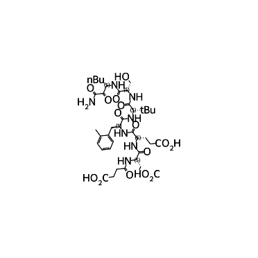 CCCC[C@H](NC(=O)[C@H](CO)NC(=O)[C@@H](NC(=O)[C@H](Cc1ccccc1C)NC(=O)[C@H](CCC(=O)O)NC(=O)[C@H](CC(=O)O)NC(=O)CCC(=O)O)C(C)(C)C)C(=O)C(N)=O